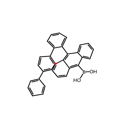 OB(O)c1c2ccccc2c(-c2ccccc2-c2ccc(-c3ccccc3)cc2)c2ccccc12